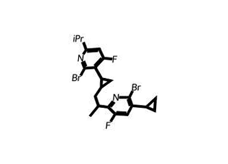 CC(C)c1cc(F)c(C2CC2CC(C)c2nc(Br)c(C3CC3)cc2F)c(Br)n1